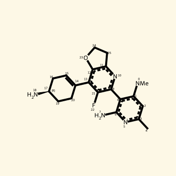 CNc1cc(C)nc(N)c1-c1nc2c(c(C3=CC[C@H](N)CC3)c1F)OCC2